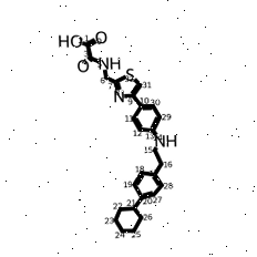 O=C(O)C(=O)NCc1nc(-c2ccc(NCCc3ccc(C4CCCCC4)cc3)cc2)cs1